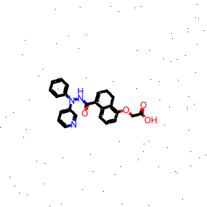 O=C(O)COc1cccc2c1CCC=C2C(=O)NN(c1ccccc1)c1cccnc1